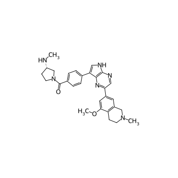 CN[C@H]1CCN(C(=O)c2ccc(-c3c[nH]c4ncc(-c5cc6c(c(OC)c5)CCN(C)C6)nc34)cc2)C1